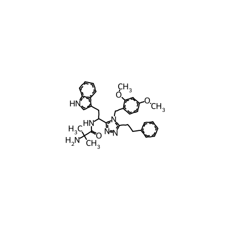 COc1ccc(Cn2c(CCc3ccccc3)nnc2C(Cc2c[nH]c3ccccc23)NC(=O)C(C)(C)N)c(OC)c1